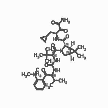 CC(C)[C@H](NC(=O)N[C@H](C(=O)N1C[C@H]2[C@@H]([C@H]1C(=O)NC(CC1CC1)C(=O)C(N)=O)C2(C)C)C(C)(C)C)C(=O)c1ccccc1N(C)C